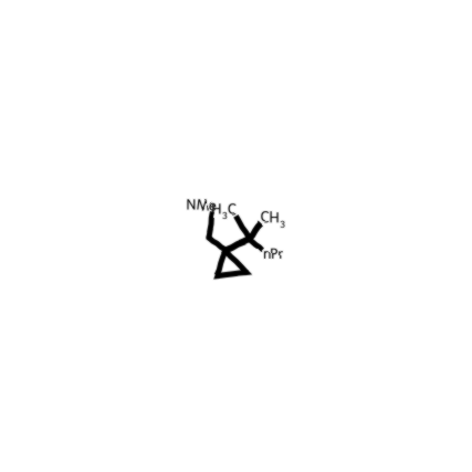 CCCC(C)(C)C1(CNC)CC1